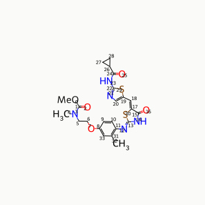 COC(=O)N(C)CCOc1ccc(/N=C2/NC(=O)/C(=C/c3cnc(NC(=O)C4CC4)s3)S2)c(C)c1